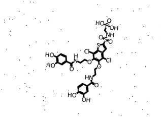 O=C(NCCOc1c(OCCNC(=O)c2ccc(O)c(O)c2)c(Cl)c2sc(S(=O)(=O)NCP(=O)(O)O)cc2c1Cl)c1ccc(O)c(O)c1